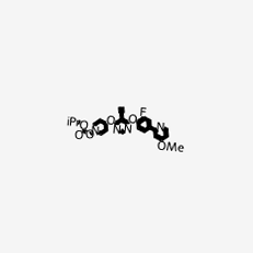 C#Cc1c(Oc2ccc(-c3cc(OC)ccn3)cc2F)ncnc1OC1CCN(OC(=O)OC(C)C)CC1